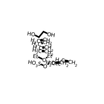 C=C.C=C.C=C.C=C.C=C.C=C.CCCCCCCCCCOS(=O)(=O)O.CCOCC.OCCO